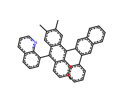 Cc1ccc2c(-c3cccc4cccnc34)c3cc(C)c(C)cc3c(-c3cc4ccccc4cc3-c3ccccc3)c2c1